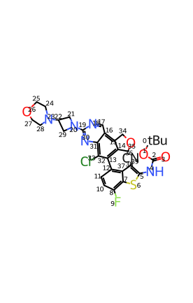 CC(C)(C)OC(=O)Nc1sc2c(F)ccc(-c3c4c(c5cnc(N6CC(N7CCOCC7)C6)nc5c3Cl)COC4)c2c1C#N